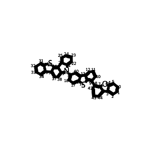 c1ccc2c(c1)oc1c(-c3cccc4c3sc3ccc(-n5c6ccccc6c6c7sc8ccccc8c7ccc65)cc34)cccc12